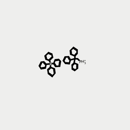 [PH3+]CC(c1ccccc1)(c1ccccc1)c1ccccc1.c1ccc([B-](c2ccccc2)(c2ccccc2)c2ccccc2)cc1